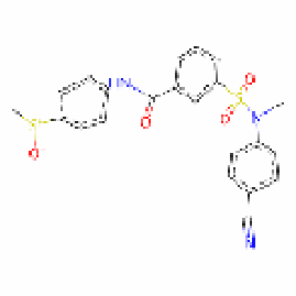 CN(c1ccc(C#N)cc1)S(=O)(=O)c1cccc(C(=O)Nc2ccc([S+](C)[O-])cc2)c1